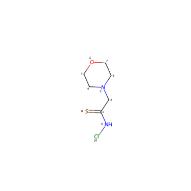 S=C(CN1CCOCC1)NCl